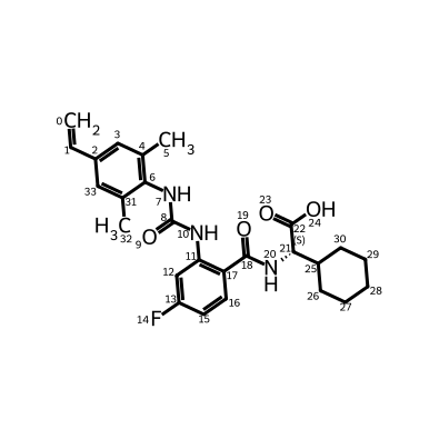 C=Cc1cc(C)c(NC(=O)Nc2cc(F)ccc2C(=O)N[C@H](C(=O)O)C2CCCCC2)c(C)c1